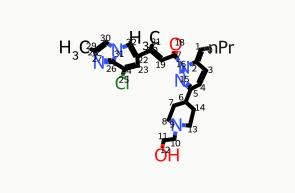 CCC/C=C1\C=CC(C2CCN(CCO)CC2)=NN1C(=O)/C=C(\C)c1cc(Cl)c2nc(C)cn2c1